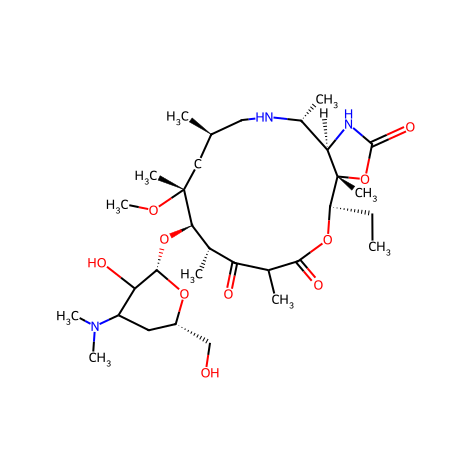 CC[C@@H]1OC(=O)C(C)C(=O)[C@H](C)[C@@H](O[C@@H]2O[C@H](CO)CC(N(C)C)C2O)[C@](C)(OC)C[C@@H](C)CN[C@H](C)[C@H]2NC(=O)O[C@]12C